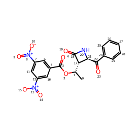 CC(OC(=O)c1cc([N+](=O)[O-])cc([N+](=O)[O-])c1)[C@@H]1C(=O)N[C@H]1C(=O)c1ccccc1